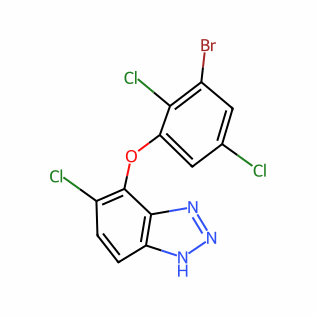 Clc1cc(Br)c(Cl)c(Oc2c(Cl)ccc3[nH]nnc23)c1